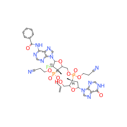 C=CCOP(=O)(OCCC#N)[C@@]1(C)C(COP(=O)(OCCC#N)[C@]2(C)CC(n3cnc4c(=O)[nH]cnc43)OC2CO)OC(n2cnc3c(NC(=O)c4ccccc4)ncnc32)[C@@H]1F